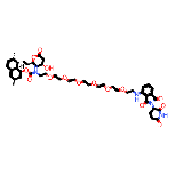 C[C@H]1C=C2C=C[C@H](C)[C@H](CC[C@@H]3C[C@@H](O)CC(=O)O3)[C@H]2[C@@H](OC(=O)NCCOCCOCCOCCOCCOCCOCCNc2cccc3c2C(=O)N(C2CCC(=O)NC2=O)C3=O)C1